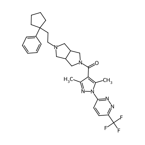 Cc1nn(-c2ccc(C(F)(F)F)nn2)c(C)c1C(=O)N1CC2CN(CCC3(c4ccccc4)CCCC3)CC2C1